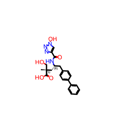 C[C@@](CO)(C[C@@H](Cc1ccc(-c2ccccc2)cc1)NC(=O)c1cn(O)nn1)C(=O)O